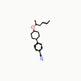 CCCCC(C)OC1CCC(c2ccc(C#N)cc2)CC1